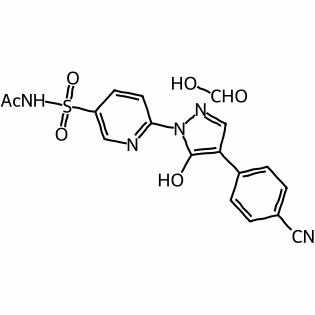 CC(=O)NS(=O)(=O)c1ccc(-n2ncc(-c3ccc(C#N)cc3)c2O)nc1.O=CO